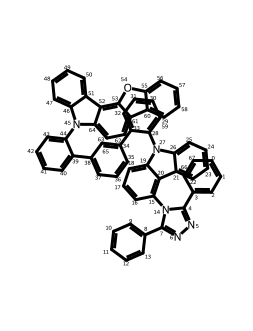 c1ccc(-c2nnc(-c3ccccc3)n2-c2cccc3c2c2ccccc2n3-c2ccccc2-c2cccc(-c3ccccc3-n3c4ccccc4c4c5oc6ccccc6c5ccc43)c2)cc1